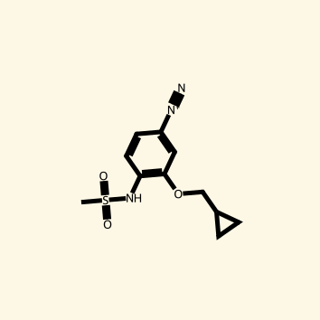 CS(=O)(=O)Nc1ccc([N+]#N)cc1OCC1CC1